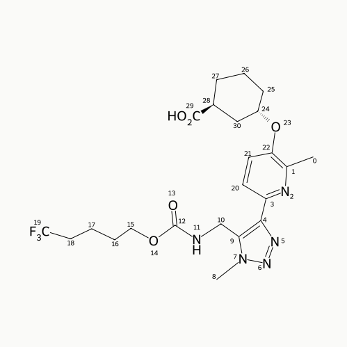 Cc1nc(-c2nnn(C)c2CNC(=O)OCCCCC(F)(F)F)ccc1O[C@H]1CCC[C@H](C(=O)O)C1